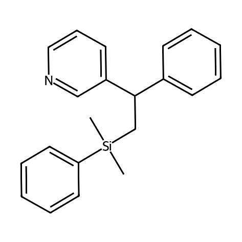 C[Si](C)(CC(c1ccccc1)c1cccnc1)c1ccccc1